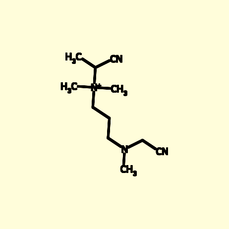 CC(C#N)[N+](C)(C)CCCN(C)CC#N